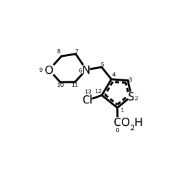 O=C(O)c1scc(CN2CCOCC2)c1Cl